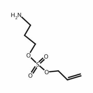 C=CCOS(=O)(=O)OCCCN